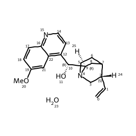 C=C[C@@H]1CN2CCC1C[C@@H]2[C@H](O)c1ccnc2ccc(OC)cc12.O